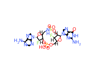 Nc1nc2c(ncn2[C@@H]2O[C@@H]3COP(=O)(O)O[C@H]4[C@H](F)[C@H](n5cnc6c(N)ncnc65)O[C@@H]4CNS(=O)(=O)O[C@@H]2[C@@H]3F)c(=O)[nH]1